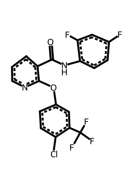 O=C(Nc1ccc(F)cc1F)c1cccnc1Oc1ccc(Cl)c(C(F)(F)F)c1